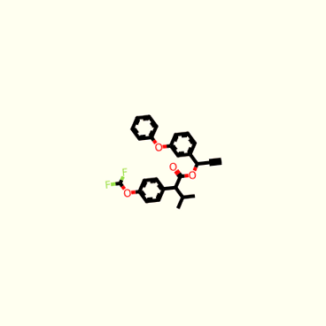 C#CC(OC(=O)C(c1ccc(OC(F)F)cc1)C(C)C)c1cccc(Oc2ccccc2)c1